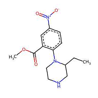 CCC1CNCCN1c1ccc([N+](=O)[O-])cc1C(=O)OC